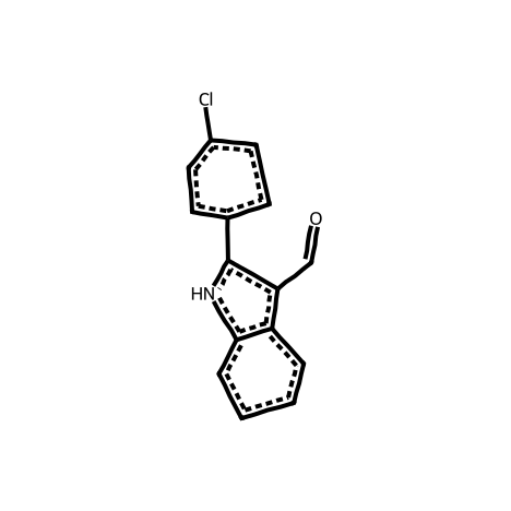 O=Cc1c(-c2ccc(Cl)cc2)[nH]c2ccccc12